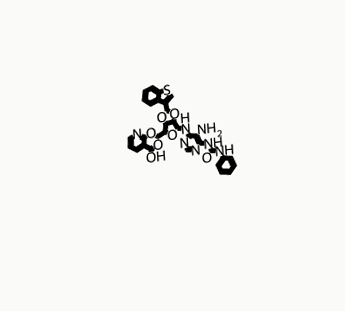 Nc1c(NC(=O)Nc2ccccc2)ncnc1NC1OC(COc2ncccc2C(=O)O)C2OC(c3csc4ccccc34)OC12